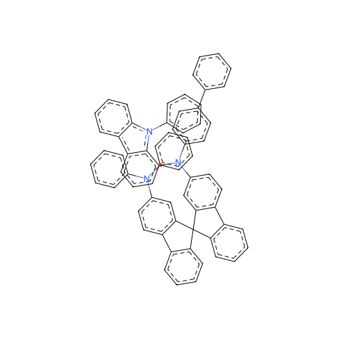 c1ccc(-c2ccc(N(c3ccc4c(c3)C3(c5ccccc5-c5ccc(N(c6ccccc6)c6ccccc6)cc53)c3ccccc3-4)c3cccc4c5ccccc5n(-c5ccccc5)c34)cc2)cc1